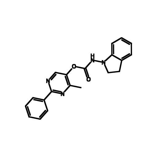 Cc1nc(-c2ccccc2)ncc1OC(=O)NN1CCc2ccccc21